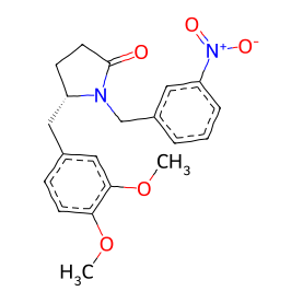 COc1ccc(C[C@@H]2CCC(=O)N2Cc2cccc([N+](=O)[O-])c2)cc1OC